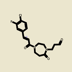 O=CCCN1CCN(C(=O)/C=C/c2ccc(Cl)c(F)c2)CCC1=O